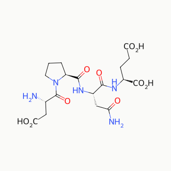 NC(=O)C[C@H](NC(=O)[C@@H]1CCCN1C(=O)[C@@H](N)CC(=O)O)C(=O)N[C@@H](CCC(=O)O)C(=O)O